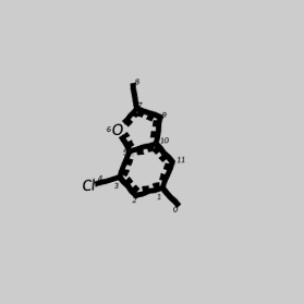 Cc1cc(Cl)c2oc(C)cc2c1